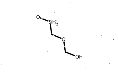 [O][SiH2]COCO